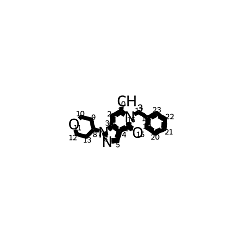 Cc1cc2c(cnn2C2CCOCC2)c(=O)n1Cc1ccccc1